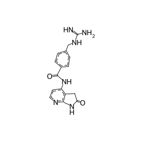 N=C(N)NCc1ccc(C(=O)Nc2ccnc3c2CC(=O)N3)cc1